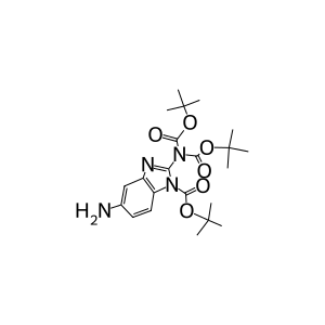 CC(C)(C)OC(=O)N(C(=O)OC(C)(C)C)c1nc2cc(N)ccc2n1C(=O)OC(C)(C)C